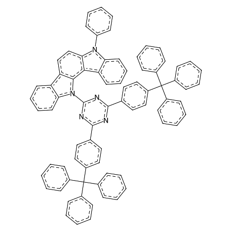 c1ccc(-n2c3ccccc3c3c2ccc2c4ccccc4n(-c4nc(-c5ccc(C(c6ccccc6)(c6ccccc6)c6ccccc6)cc5)nc(-c5ccc(C(c6ccccc6)(c6ccccc6)c6ccccc6)cc5)n4)c23)cc1